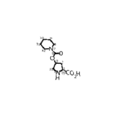 O=C(O)[C@@H]1CC(OC(=O)N2CCCCC2)CN1